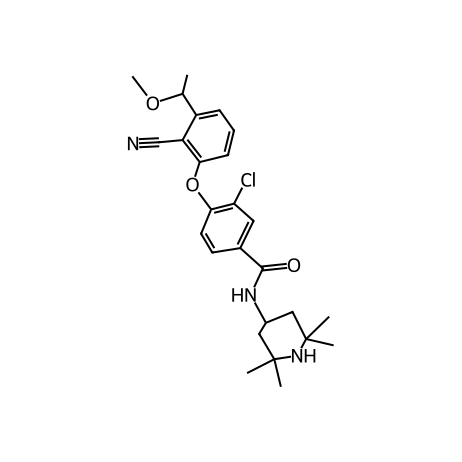 COC(C)c1cccc(Oc2ccc(C(=O)NC3CC(C)(C)NC(C)(C)C3)cc2Cl)c1C#N